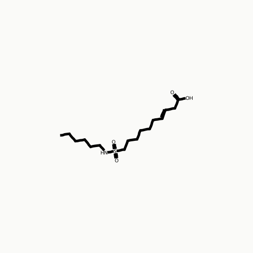 CCCCCCNS(=O)(=O)CCCCCCC=CCC(=O)O